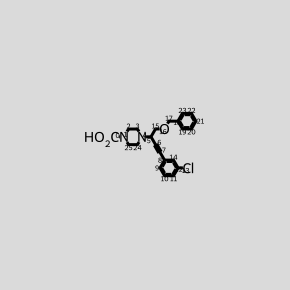 O=C(O)N1CCN(C(C#Cc2cccc(Cl)c2)COCc2ccccc2)CC1